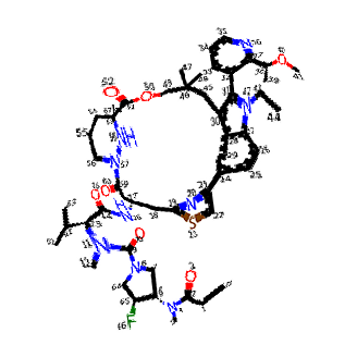 C=CC(=O)N(C)[C@H]1CN(C(=O)N(C)[C@H](C(=O)N[C@H]2Cc3nc(cs3)-c3ccc4c(c3)c(c(-c3cccnc3[C@H](C)OC)n4CC)CC(C)(C)COC(=O)[C@@H]3CCCN(N3)C2=O)C(C)C)C[C@@H]1F